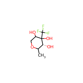 CC1OCC(O)C(O)(C(F)(F)F)[C@@H]1O